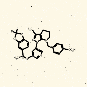 C[C@H](Oc1cncc(-n2nc(C(F)(F)F)c3c2N(Cc2ccc(C(=O)O)cc2)CCC3)c1)c1ccc2c(c1)OC(F)(F)O2